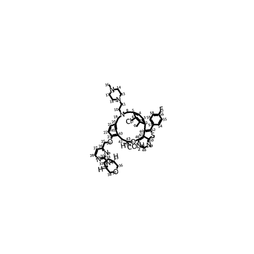 Cc1c2ccc(c1Cl)CN(CCN1CCN(C)CC1)Cc1ccc(OCc3ccnc(N4[C@@H]5CC[C@H]4COC5)n3)c(c1)C[C@H](C(=O)O)Oc1ncnc3sc(-c4ccc(F)cc4)c-2c13